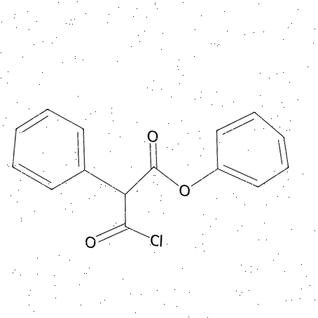 O=C(Cl)C(C(=O)Oc1ccccc1)c1ccccc1